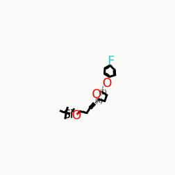 CC(C)(C)[Si](C)(C)OCCC#C[C@H]1CC[C@@H](COc2ccc(F)cc2)O1